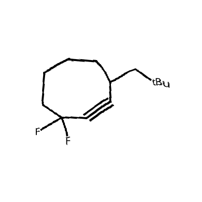 CC(C)(C)CC1C#CC(F)(F)CCCC1